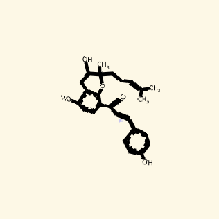 CC(C)=CCCC1(C)Oc2c(C(=O)/C=C/c3ccc(O)cc3)ccc(O)c2CC1O